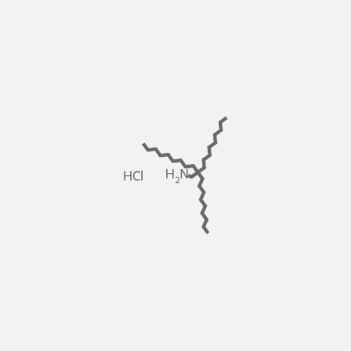 CCCCCCCCCC(CN)(CCCCCCCCC)CCCCCCCCC.Cl